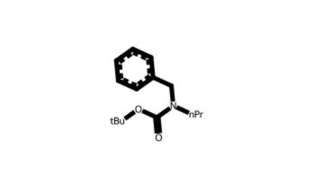 CCCN(Cc1ccccc1)C(=O)OC(C)(C)C